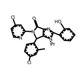 Cc1cc(Cl)ccc1C1c2c(nc(-c3ccccc3O)n2C(C)C)C(=O)N1c1cc(Cl)ccn1